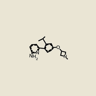 CC(C)c1cc(OC2CN(C)C2)ccc1-c1cccc(N)n1